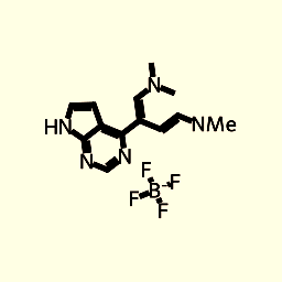 C[NH2+]C=CC(=CN(C)C)c1ncnc2[nH]ccc12.F[B-](F)(F)F